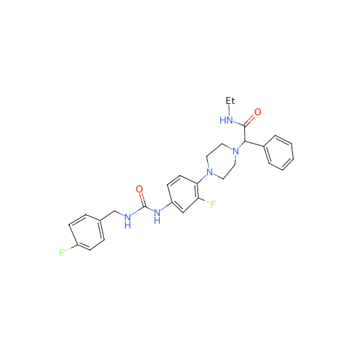 CCNC(=O)C(c1ccccc1)N1CCN(c2ccc(NC(=O)NCc3ccc(F)cc3)cc2F)CC1